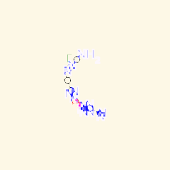 Cn1cc(-c2cnc3c(nnn3C[C@@H]3CN(c4ncc(-c5ccc(CN6CCN(c7ccc(N)cc7F)CC6)cc5)cn4)CCO3)n2)cn1